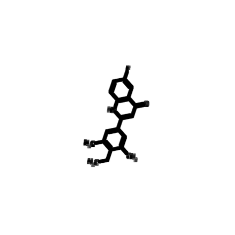 CCc1c(C)cc(-c2cc(=O)c3cc(F)ccc3[nH]2)cc1C